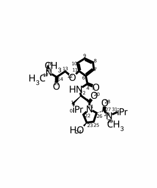 CC(C)C[C@@H](NC(=O)c1ccccc1OCC(=O)N(C)C)C(=O)N1C[C@H](O)C[C@H]1C(=O)N(C)C(C)C